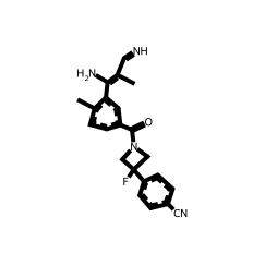 C/C(C=N)=C(/N)c1cc(C(=O)N2CC(F)(c3ccc(C#N)cc3)C2)ccc1C